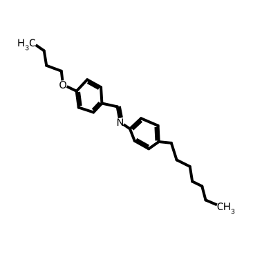 CCCCCCCc1ccc(N=Cc2ccc(OCCCC)cc2)cc1